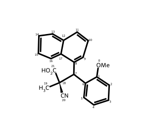 COc1ccccc1C(c1cccc2ccccc12)[C@@](C)(C#N)C(=O)O